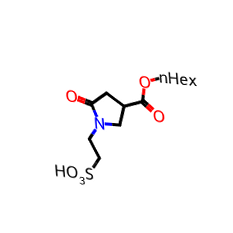 CCCCCCOC(=O)C1CC(=O)N(CCS(=O)(=O)O)C1